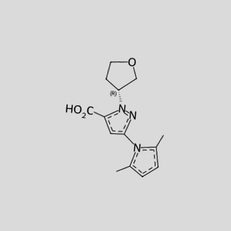 Cc1ccc(C)n1-c1cc(C(=O)O)n([C@@H]2CCOC2)n1